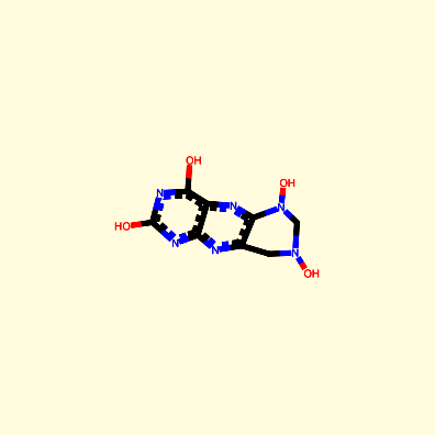 Oc1nc(O)c2nc3c(nc2n1)CN(O)CN3O